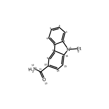 CCn1c2ccccc2c2cc(C(N)=O)ccc21